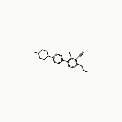 CCOc1ccc(-c2ccc(C3CCC(C)CC3)cc2)c(F)c1C#N